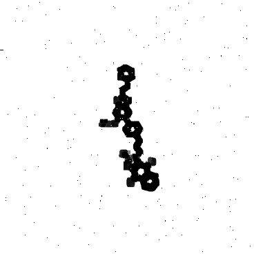 COc1cc2oc(CCc3ccccn3)nc2cc1-c1ccc(CCCn2c3c(n[n+]2[O-])C(=O)c2ccccc2C3=O)cc1